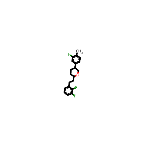 Cc1ccc(C2CCC(CCc3cccc(F)c3F)OC2)cc1F